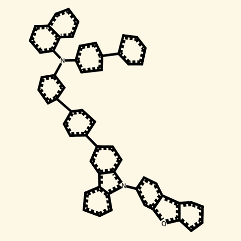 c1ccc(-c2ccc(N(c3cccc(-c4ccc(-c5ccc6c(c5)c5ccccc5n6-c5ccc6c(c5)oc5ccccc56)cc4)c3)c3cccc4ccccc34)cc2)cc1